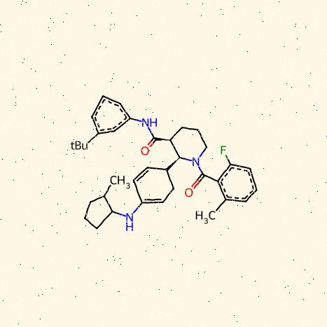 Cc1cccc(F)c1C(=O)N1CCC[C@H](C(=O)Nc2cccc(C(C)(C)C)c2)[C@@H]1C1C=CC(NC2CCCC2C)=CC1